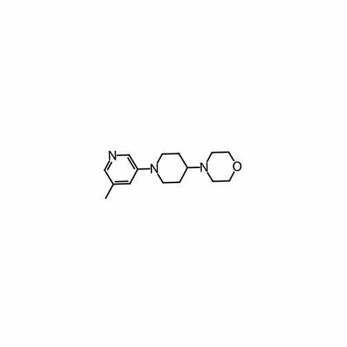 Cc1cncc(N2CCC(N3CCOCC3)CC2)c1